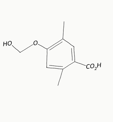 Cc1cc(C(=O)O)c(C)cc1OCO